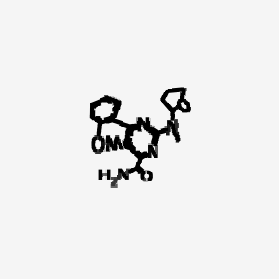 COc1ccccc1-c1cc(C(N)=O)nc(N(C)C2CCCO2)n1